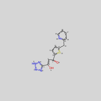 O=C(C=C(O)c1nn[nH]n1)c1ccc(Cc2ccccn2)s1